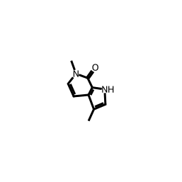 Cc1c[nH]c2c(=O)n(C)ccc12